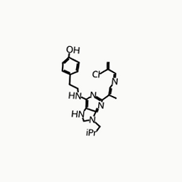 C=C(Cl)/C=N\C=C(/C)c1nc(NCCc2ccc(O)cc2)c2c(n1)N(CC(C)C)CN2